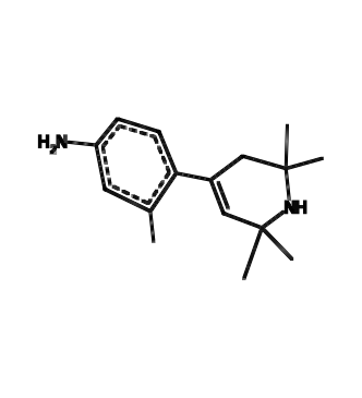 Cc1cc(N)ccc1C1=CC(C)(C)NC(C)(C)C1